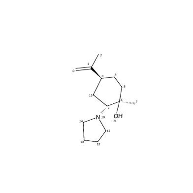 C=C(C)[C@H]1CC[C@@](C)(O)[C@H](N2CCCC2)C1